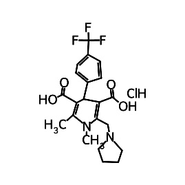 CC1=C(C(=O)O)C(c2ccc(C(F)(F)F)cc2)C(C(=O)O)=C(CN2CCCC2)N1C.Cl